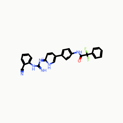 N#Cc1ccccc1NC(=N)/N=c1/ccc(-c2ccc(NC(=O)C(F)(F)c3ccccc3)cc2)c[nH]1